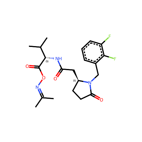 CC(C)=NOC(=O)[C@@H](NC(=O)C[C@@H]1CCC(=O)N1Cc1cccc(F)c1F)C(C)C